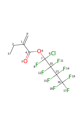 C=C(CC)C(=O)OC(F)(Cl)C(F)(F)C(F)(F)C(F)(F)F